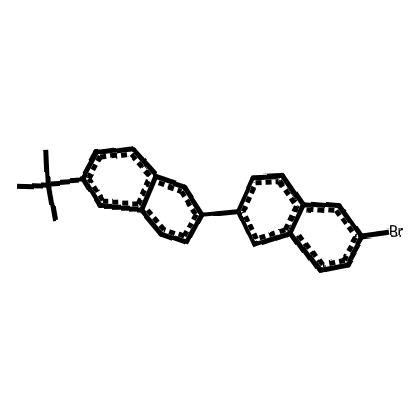 CC(C)(C)c1ccc2cc(-c3ccc4cc(Br)ccc4c3)ccc2c1